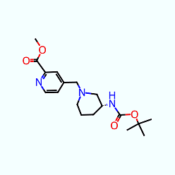 COC(=O)c1cc(CN2CCC[C@@H](NC(=O)OC(C)(C)C)C2)ccn1